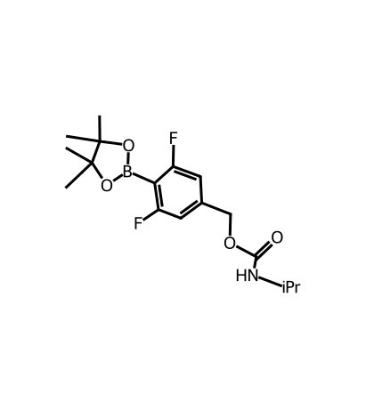 CC(C)NC(=O)OCc1cc(F)c(B2OC(C)(C)C(C)(C)O2)c(F)c1